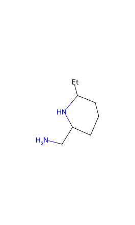 CCC1CCCC(CN)N1